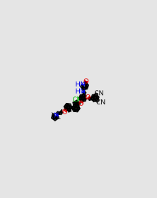 Cc1c(OCCCN2[C@H](C)CC[C@@H]2C)cccc1-c1cccc2c1CC[C@@H]2Oc1cc(OCc2cc(C#N)cc(C#N)c2)c(CN[C@H]2CCC(=O)NC2)cc1Cl